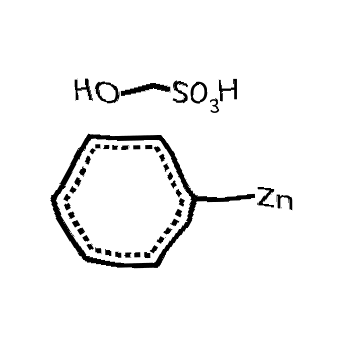 O=S(=O)(O)O.[Zn][c]1ccccc1